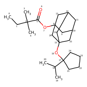 CCC(C)(C)C(=O)OC12CC3CC(C1)CC(OC1(C(C)C)CCCC1)(C3)C2